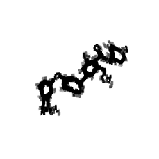 CCc1cc(-c2cc(Oc3ccc4cnn(C)c4c3)ccn2)cc(F)c1C(=O)NC1CCNCC1